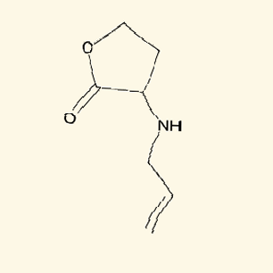 C=CCNC1CCOC1=O